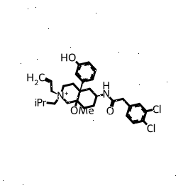 C=CC[N@@+]1(CC(C)C)CC[C@]2(c3cccc(O)c3)C[C@@H](NC(=O)Cc3ccc(Cl)c(Cl)c3)CCC2(OC)C1